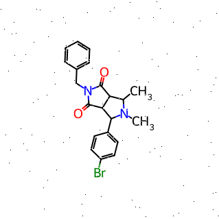 CC1C2C(=O)N(Cc3ccccc3)C(=O)C2C(c2ccc(Br)cc2)N1C